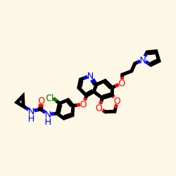 O=C(Nc1ccc(Oc2ccnc3cc(OCCCn4cccc4)c4c(c23)OCCO4)cc1Cl)NC1CC1